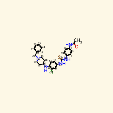 CC(=O)Nc1ccc(NC(=S)Nc2ccc(NC3CCN(Cc4ccccc4)CC3)c(Cl)c2)cc1